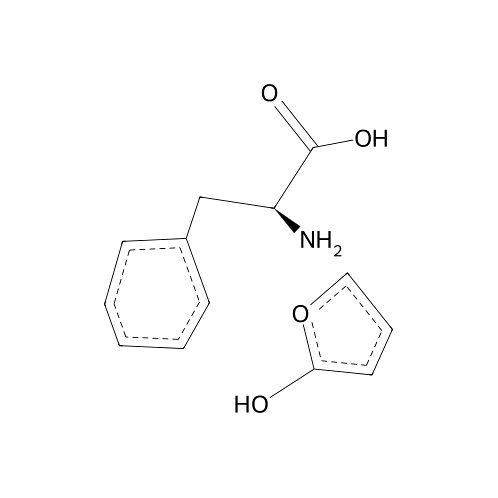 N[C@@H](Cc1ccccc1)C(=O)O.Oc1ccco1